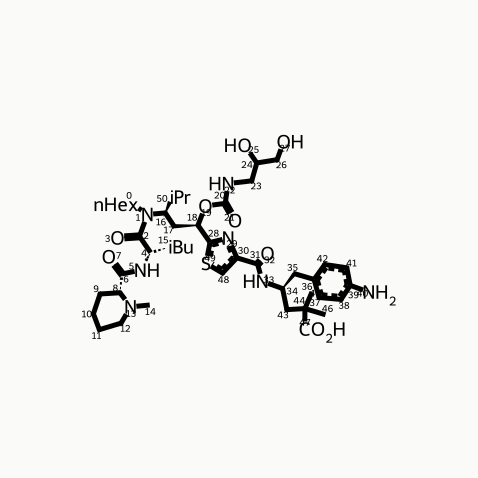 CCCCCCN(C(=O)[C@@H](NC(=O)[C@H]1CCCCN1C)[C@@H](C)CC)[C@H](C[C@@H](OC(=O)NCC(O)CO)c1nc(C(=O)N[C@@H](Cc2ccc(N)cc2)CC(C)(C)C(=O)O)cs1)C(C)C